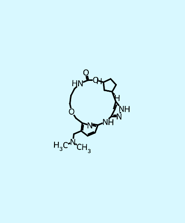 CN(C)Cc1ccc2nc1COCCCNC(=O)O[C@@H]1CC[C@@H](C1)c1cc(n[nH]1)N2